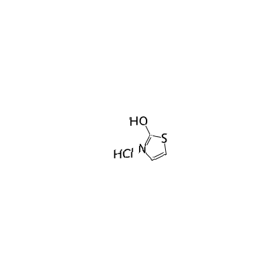 Cl.Oc1nccs1